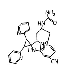 N#Cc1ccnc(NC2(C3CC(NC(N)=O)CCN3)C(c3ccccn3)C2c2ccccn2)c1